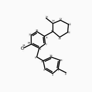 Cc1ccc(Cc2cc(C3CCCCC3C)ccc2Cl)cc1